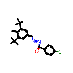 C=c1c(C(C)(C)C)cc(=C/N=N/C(=O)c2ccc(Cl)cc2)cc1C(C)(C)C